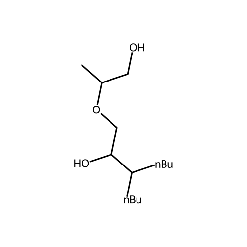 CCCCC(CCCC)C(O)COC(C)CO